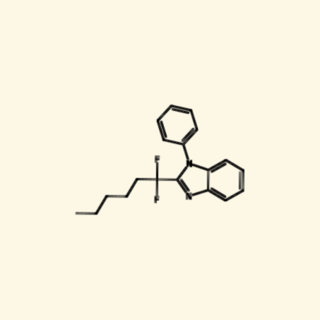 CCCCCC(F)(F)c1nc2ccccc2n1-c1ccccc1